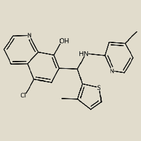 Cc1ccnc(NC(c2cc(Cl)c3cccnc3c2O)c2sccc2C)c1